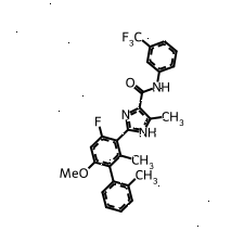 COc1cc(F)c(-c2nc(C(=O)Nc3cccc(C(F)(F)F)c3)c(C)[nH]2)c(C)c1-c1ccccc1C